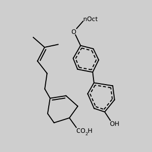 CC(C)=CCCC1=CCC(C(=O)O)CC1.CCCCCCCCOc1ccc(-c2ccc(O)cc2)cc1